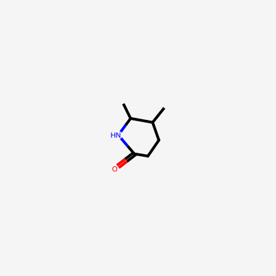 CC1CCC(=O)NC1C